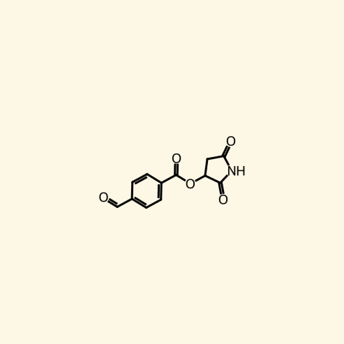 O=Cc1ccc(C(=O)OC2CC(=O)NC2=O)cc1